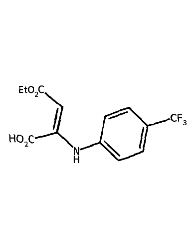 CCOC(=O)C=C(Nc1ccc(C(F)(F)F)cc1)C(=O)O